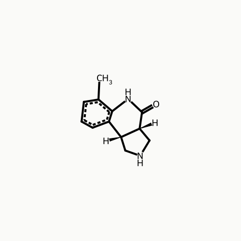 Cc1cccc2c1NC(=O)[C@@H]1CNC[C@H]21